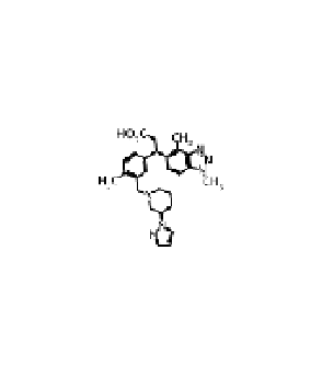 Cc1ccc(C(CC(=O)O)c2ccc3c(nnn3C)c2C)cc1CN1CCCC(n2cccn2)C1